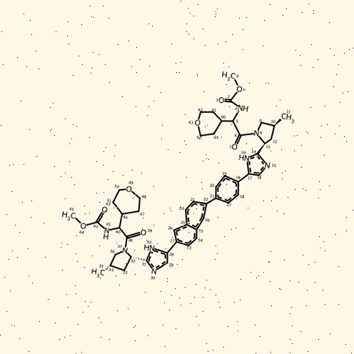 COC(=O)NC(C(=O)N1C[C@@H](C)C[C@H]1c1ncc(-c2ccc(-c3ccc4cc(-c5cnc([C@@H]6C[C@H](C)CN6C(=O)C(NC(=O)OC)C6CCOCC6)[nH]5)ccc4c3)cc2)[nH]1)C1CCOCC1